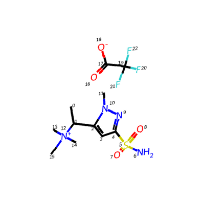 CC(c1cc(S(N)(=O)=O)nn1C)[N+](C)(C)C.O=C([O-])C(F)(F)F